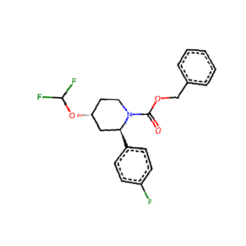 O=C(OCc1ccccc1)N1CC[C@@H](OC(F)F)C[C@@H]1c1ccc(F)cc1